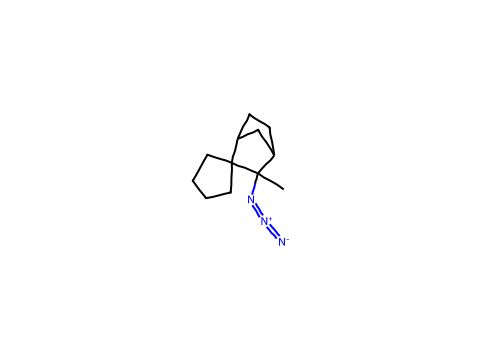 CC1(N=[N+]=[N-])C2CCC(C2)C12CCCC2